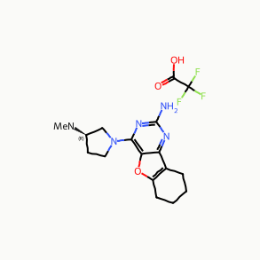 CN[C@@H]1CCN(c2nc(N)nc3c4c(oc23)CCCC4)C1.O=C(O)C(F)(F)F